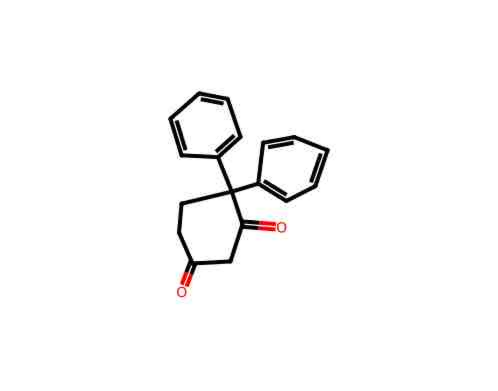 O=C1CCC(c2ccccc2)(c2ccccc2)C(=O)C1